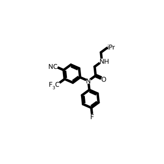 CC(C)CNCC(=O)N(c1ccc(F)cc1)c1ccc(C#N)c(C(F)(F)F)c1